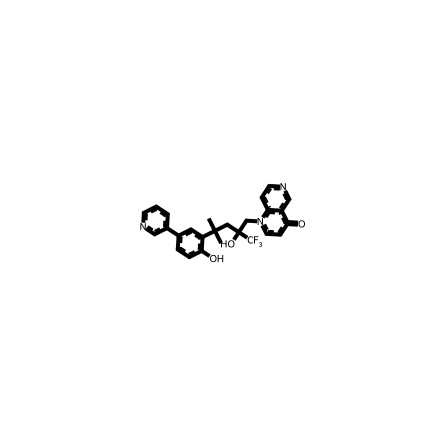 CC(C)(CC(O)(Cn1ccc(=O)c2cnccc21)C(F)(F)F)c1cc(-c2cccnc2)ccc1O